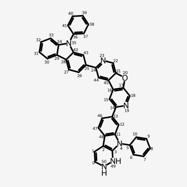 C1=Cc2c(n(-c3ccccc3)c3cc(-c4cc5c(cn4)oc4cnc(-c6ccc7c8ccccc8n(-c8ccccc8)c7c6)cc45)ccc23)NN1